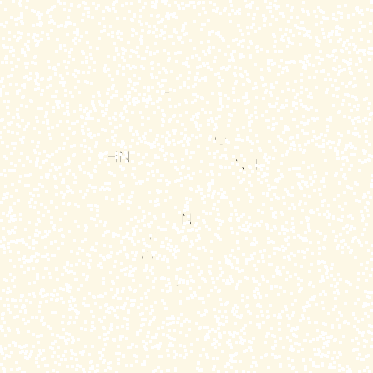 CC1(C)C(=C=O)N(Cc2ccsc2)c2cc(C(N)=O)cc(-c3c[nH]c4ccc(F)cc34)c21